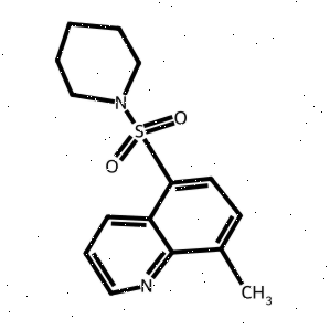 Cc1ccc(S(=O)(=O)N2CCCCC2)c2cccnc12